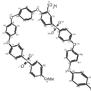 COc1ccc(S(=O)(=O)c2ccc(Oc3ccc(Oc4ccc(Oc5ccc(S(=O)(=O)c6ccc(Oc7ccc(Oc8ccc(C)cc8)cc7)cc6)cc5S(=O)(=O)O)cc4)cc3)cc2)cc1